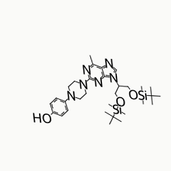 Cc1nc(N2CCN(c3ccc(O)cc3)CC2)nc2c1ncn2C(CO[Si](C)(C)C(C)(C)C)CO[Si](C)(C)C(C)(C)C